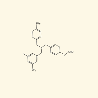 CSc1ccc(CN(Cc2ccc(OC=O)cc2)Cc2cc(C)cc(C(F)(F)F)c2)cc1